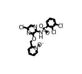 O=S(=O)(Nc1ncc(Cl)nc1OCc1cccc[n+]1[O-])c1cccc(Cl)c1Cl